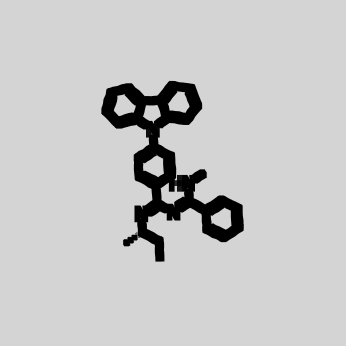 CC[C@H](C)/N=C(\N=C(/NC)c1ccccc1)c1ccc(-n2c3ccccc3c3ccccc32)cc1